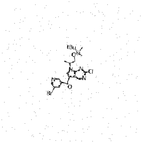 CC(CO[Si](C)(C)C(C)(C)C)n1cc(C(=O)c2cncc(Br)c2)c2cnc(Cl)nc21